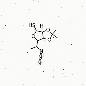 C[C@H](N=[N+]=[N-])[C@H]1O[C@@H](S)[C@H]2OC(C)(C)OC12